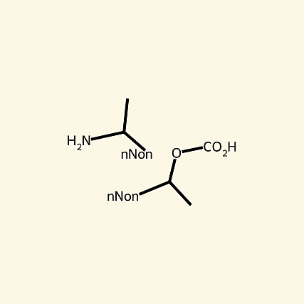 CCCCCCCCCC(C)N.CCCCCCCCCC(C)OC(=O)O